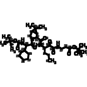 CCCC(NC(=O)[C@@H]1C2C(CN1C(=O)C(NC(=O)OC(C)(C)C)C1CCCCC1)C2(C)C)C(=O)C(=O)NCCC(=O)OC(C)(C)C